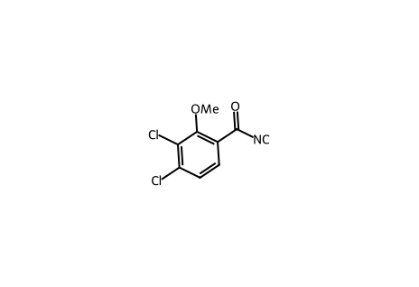 [C-]#[N+]C(=O)c1ccc(Cl)c(Cl)c1OC